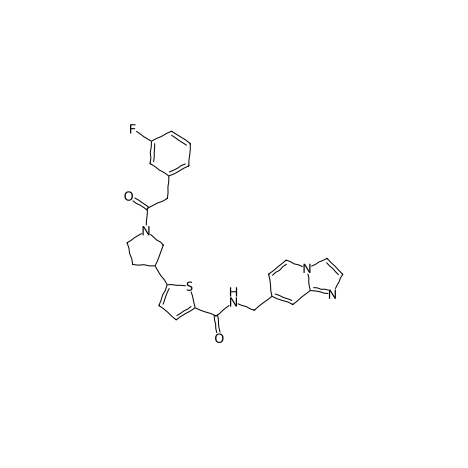 O=C(NCc1ccn2ccnc2c1)c1ccc(C2CCN(C(=O)Cc3cccc(F)c3)C2)s1